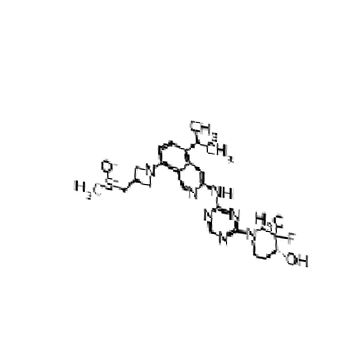 CC(C)c1ccc(N2CC(C[S+](C)[O-])C2)c2cnc(Nc3ncnc(N4CC[C@@H](O)[C@@](C)(F)C4)n3)cc12